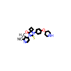 Cc1c(N2C(=O)C3(CCC3)N(c3ccc(OC4CCNCC4)cc3)C2=S)ccnc1C#N